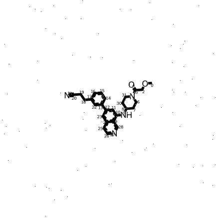 COCC(=O)N1CCC(Nc2cc(-c3cccc(CCC#N)c3)cc3ccncc23)CC1